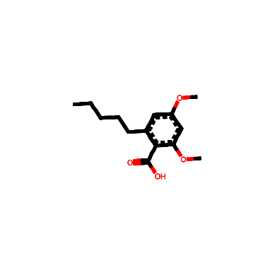 CCCCCc1cc(OC)cc(OC)c1C(=O)O